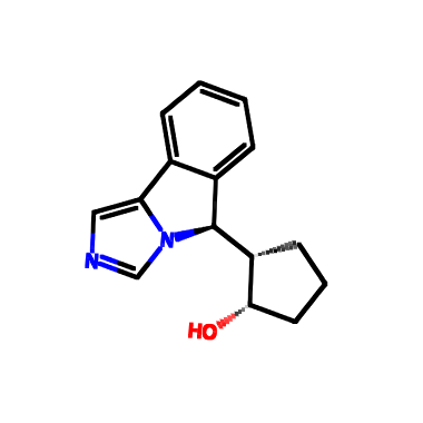 O[C@H]1CCC[C@H]1[C@@H]1c2ccccc2-c2cncn21